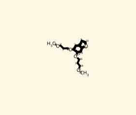 COCCCOc1cc2ccoc2cc1OCCCOC